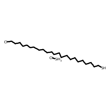 SCCCCCCCCCCCCCCCCCCCCCCCCl.[SiH3]Cl